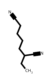 CCC(C#N)CCCCC#N